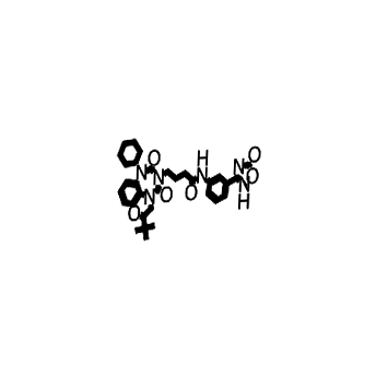 CC(C)(C)C(=O)CN1C(=O)N(CCCC(=O)Nc2cccc(-c3nc(=O)o[nH]3)c2)C(=O)N(C2CCCCC2)c2ccccc21